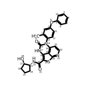 Cc1cc(Oc2ccccc2)ccc1N1C(=O)Nc2c(C(=O)N[C@@H]3CCC[C@H]3O)sc3nccc1c23